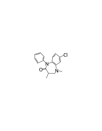 CC1CN(C)c2cc(Cl)ccc2N(c2ccccc2)C1=O